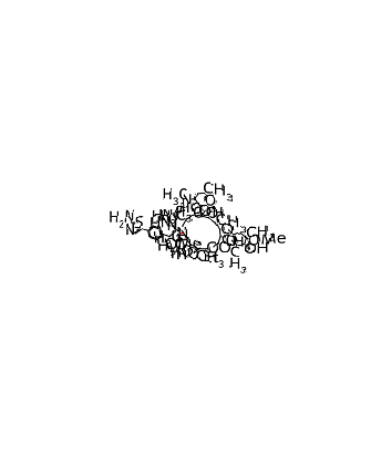 CC[C@H]1OC(=O)[C@H](C)[C@@H](O[C@H]2C[C@@](C)(OC)[C@@H](O)[C@H](C)O2)[C@H](C)[C@@H](O[C@@H]2O[C@H](C)C[C@H](N(C)CCC3=CN([C@H](CF)[C@H](OC)c4ccc(-c5cnc(N)s5)cc4)NN3)[C@H]2O)[C@](C)(O)C[C@@H](C)CN(C)[C@H](C)[C@@H](O)[C@]1(C)O